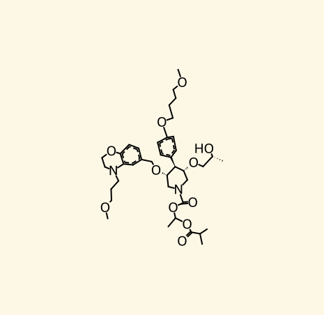 COCCCCOc1ccc([C@@H]2[C@@H](OCc3ccc4c(c3)N(CCCOC)CCO4)CN(C(=O)OC(C)OC(=O)C(C)C)C[C@H]2OC[C@@H](C)O)cc1